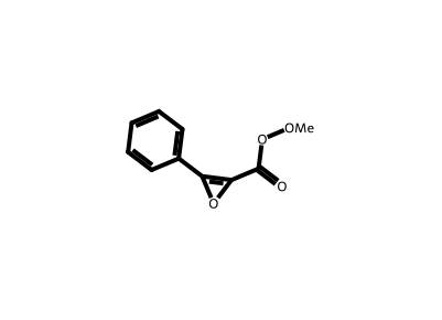 COOC(=O)C1=C(c2ccccc2)O1